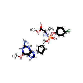 COC(=O)[C@H](C)NP(=O)(OC[C@@H]1C=C[C@H](n2cnc3c(OC)nc(N)nc32)C1)Oc1ccc(Cl)cc1